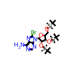 CC(C)(C)[Si](C)(C)OCC1O[C@@H](n2c(Br)nc3c(N)ncnc32)[C@@H](O[Si](C)(C)C(C)(C)C)[C@H]1O[Si](C)(C)C(C)(C)C